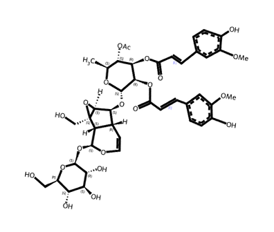 COc1cc(/C=C/C(=O)O[C@@H]2[C@@H](OC(C)=O)[C@H](C)O[C@@H](O[C@H]3[C@@H]4C=CO[C@@H](O[C@@H]5O[C@H](CO)[C@@H](O)[C@H](O)[C@H]5O)[C@@H]4[C@@]4(CO)O[C@@H]34)[C@@H]2OC(=O)/C=C/c2ccc(O)c(OC)c2)ccc1O